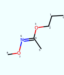 CC[CH]O/C(C)=N/OC